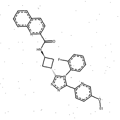 CCOc1ccc(-c2nnc([C@H]3C[C@H](NC(=O)c4ccc5ccccc5n4)C3)n2-c2ccccc2F)nc1